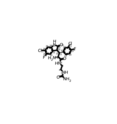 NC(=O)NCCNC(=O)[C@H](N)[C@H](c1ccc(F)c(Cl)c1)C1C(=O)Nc2cc(Cl)c(F)cc21